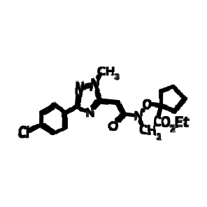 CCOC(=O)C1(ON(C)C(=O)Cc2nc(-c3ccc(Cl)cc3)nn2C)CCCC1